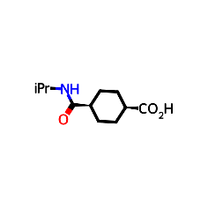 CC(C)NC(=O)[C@H]1CC[C@@H](C(=O)O)CC1